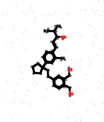 Cc1cc(C2(CCc3ccc(CO)c(CO)c3)CCCC2)ccc1/C=C/C(O)C(C)C